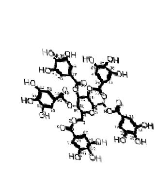 O=C(OCC1O[C@H](COC(=O)c2cc(O)c(O)c(O)c2)C(OC(=O)c2cc(O)c(O)c(O)c2)C(OC(=O)c2cc(O)c(O)c(O)c2)[C@@H]1OC(=O)c1cc(O)c(O)c(O)c1)c1cc(O)c(O)c(O)c1